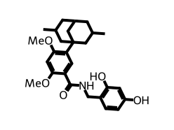 COc1cc(OC)c(C23CC(C)CC(CC(C)C2)C3)cc1C(=O)NCc1ccc(O)cc1O